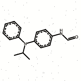 CC(C)N(c1ccccc1)c1ccc(NC=O)cc1